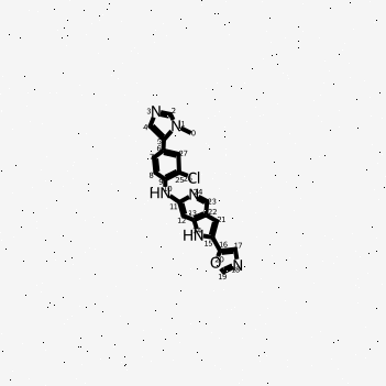 Cn1cncc1-c1ccc(Nc2cc3[nH]c(-c4cnco4)cc3cn2)c(Cl)c1